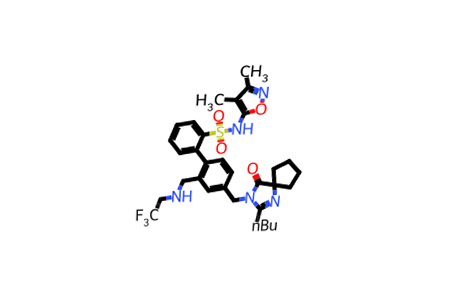 CCCCC1=NC2(CCCC2)C(=O)N1Cc1ccc(-c2ccccc2S(=O)(=O)Nc2onc(C)c2C)c(CNCC(F)(F)F)c1